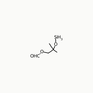 CC(C)(COC=O)O[SiH3]